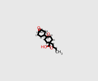 CCCCC1(C(=O)O)CCC2(C3CCC4(C)OC4C3)OC2C1